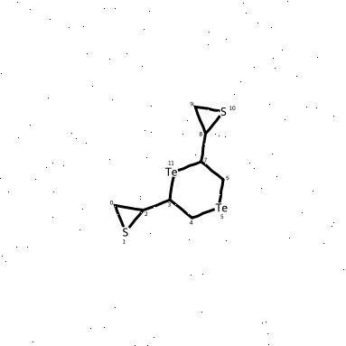 C1SC1C1C[Te]CC(C2CS2)[Te]1